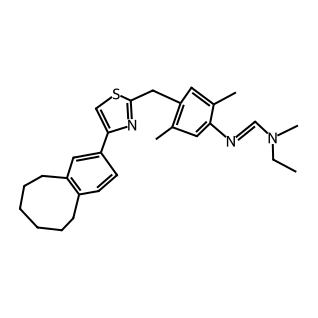 CCN(C)/C=N/c1cc(C)c(Cc2nc(-c3ccc4c(c3)CCCCCC4)cs2)cc1C